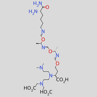 C[C@H](N=CO[C@H](C)N=COCC[C@@H](C(=O)O)N(CCN(C)C)CCN(CC(=O)O)CC(=O)O)OC=NCCCC[C@H](N)C(N)=O